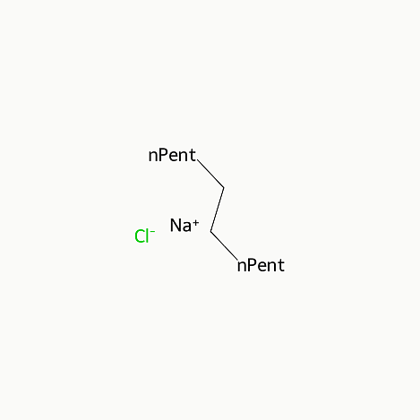 [CH2]CCCCCCCCCCC.[Cl-].[Na+]